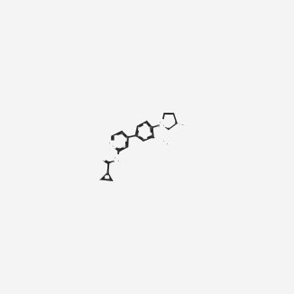 N#Cc1cc(-c2ccnc(NC(=O)C3CC3)c2)ccc1N1CC[C@@H](O)C1